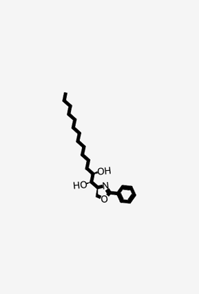 CCCCCCCCCCCC[C@@H](O)[C@@H](O)[C@@H]1COC(c2ccccc2)=N1